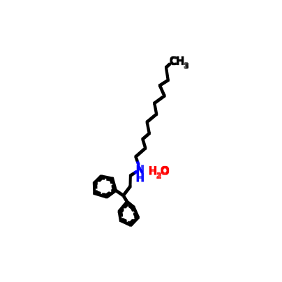 CCCCCCCCCCCCNCCC(c1ccccc1)c1ccccc1.O